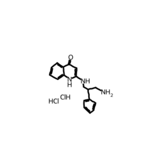 Cl.Cl.NCC(CNc1cc(=O)c2ccccc2[nH]1)c1ccccc1